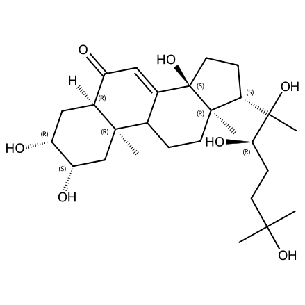 CC(C)(O)CC[C@@H](O)C(C)(O)[C@H]1CC[C@@]2(O)C3=CC(=O)[C@@H]4C[C@@H](O)[C@@H](O)C[C@]4(C)C3CC[C@]12C